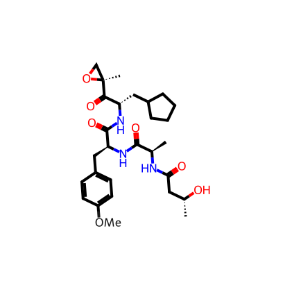 COc1ccc(C[C@H](NC(=O)[C@@H](C)NC(=O)C[C@@H](C)O)C(=O)N[C@@H](CC2CCCC2)C(=O)[C@]2(C)CO2)cc1